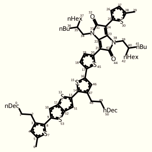 CCCCCCCCCCCCc1cc(C)sc1-c1cc2sc(-c3sc(-c4ccc(C5=C6C(=C(c7ccc(C)s7)C(=O)N6CC(CCCC)CCCCCC)N(CC(CCCC)CCCCCC)C5=O)s4)cc3CCCCCCCCCCCC)cc2s1